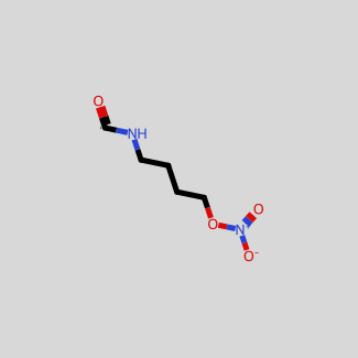 O=[C]NCCCCO[N+](=O)[O-]